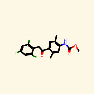 COC(=O)Nc1cc(C)c(C(=O)Cc2c(F)cc(F)cc2F)cc1C